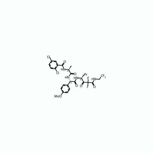 COc1ccc([C@H](NC(=O)[C@H](C)NC(=O)c2cc(Cl)ccc2Cl)C(=O)N[C@H](C(=O)C(F)(F)C(=O)NCC(F)(F)F)C(C)C)cc1